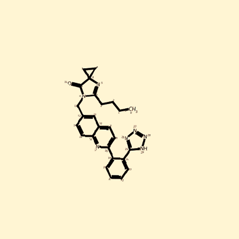 CCCCC1=NC2(CC2)C(=O)N1Cc1ccc2nc(-c3ccccc3-c3nnn[nH]3)ccc2c1